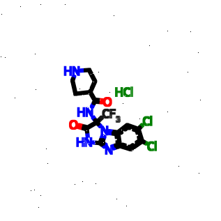 Cl.O=C(NC1(C(F)(F)F)C(=O)Nc2nc3cc(Cl)c(Cl)cc3n21)C1CCNCC1